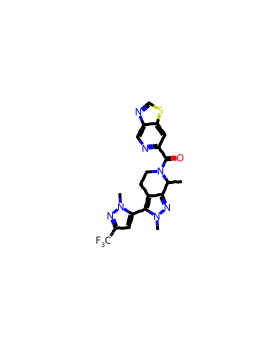 CC1c2nn(C)c(-c3cc(C(F)(F)F)nn3C)c2CCN1C(=O)c1cc2scnc2cn1